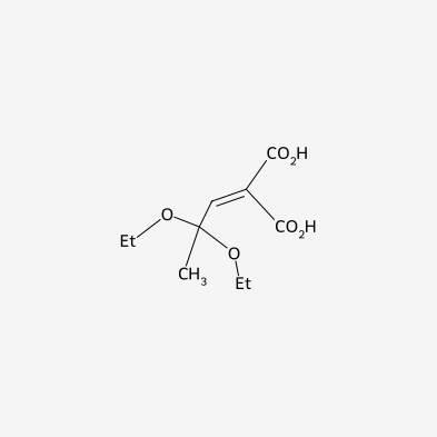 CCOC(C)(C=C(C(=O)O)C(=O)O)OCC